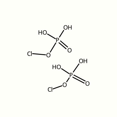 O=P(O)(O)OCl.O=P(O)(O)OCl